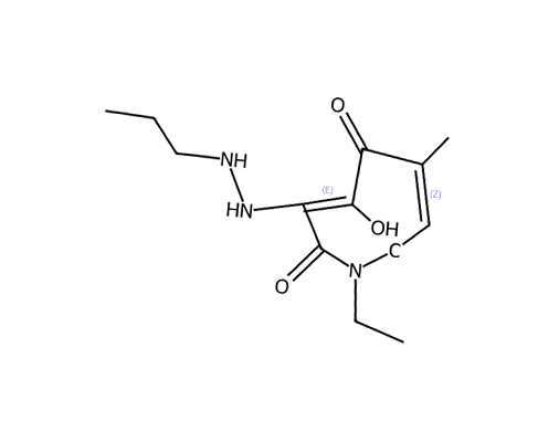 CCCNN/C1=C(/O)C(=O)/C(C)=C\CN(CC)C1=O